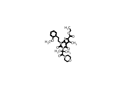 CCOC(=O)c1sc2c(c1C)c(=O)n(C(C)(C)C(=O)N1CCOCC1)c(=O)n2CCc1ccccc1OC